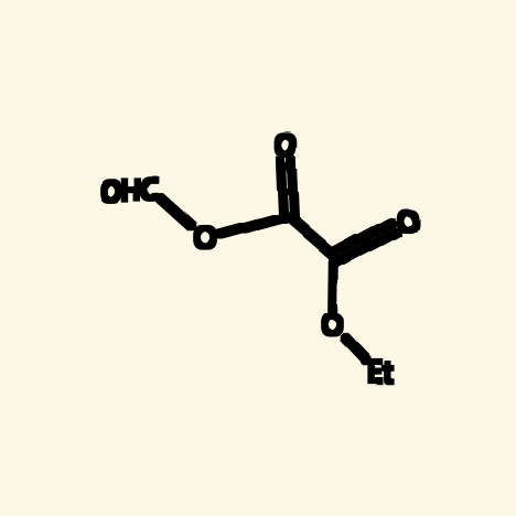 CCOC(=O)C(=O)OC=O